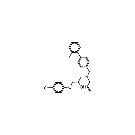 C=CCN(Cc1ccc(-c2ccccc2C)cc1)CC(O)COc1ccc(Cl)cc1